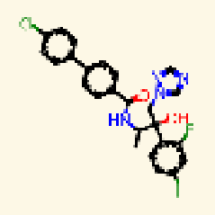 CC(NC(=O)c1ccc(-c2ccc(Cl)cc2)cc1)C(O)(Cn1cncn1)c1ccc(F)cc1F